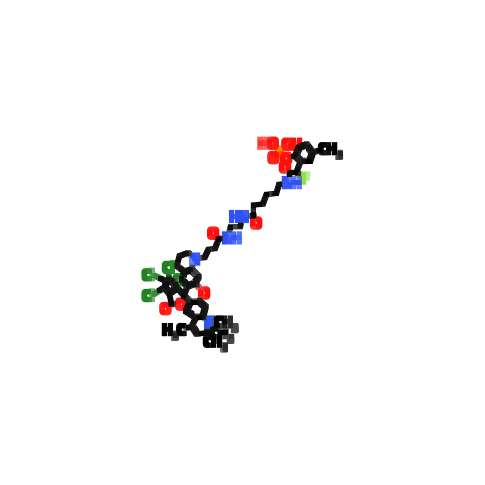 CC1=CC(C)(C)N(C)c2cc3c(cc21)C1(OC(=O)c2c(Cl)c(Cl)c(Cl)c(Cl)c21)c1cc2c(cc1O3)N(CCCC(=O)NCCNC(=O)CCCCCNC(=O)C(F)c1cc(C)ccc1OP(=O)(O)O)CCC2